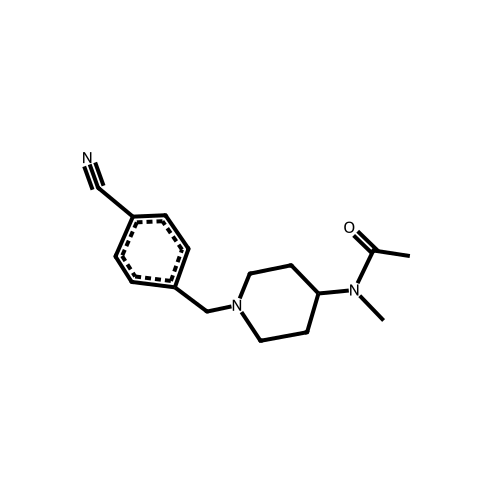 CC(=O)N(C)C1CCN(Cc2ccc(C#N)cc2)CC1